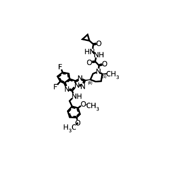 COc1ccc(CNc2nc3c(F)cc(F)cc3c3nc([C@@H]4CC[C@H](C)N(C(=O)C(=O)NNC(=O)C5CC5)C4)nn23)c(OC)c1